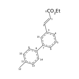 CCOC(=O)C=Cc1cccc(-c2ccc(C)cc2)c1